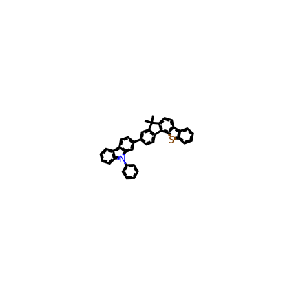 CC1(C)c2cc(-c3ccc4c5ccccc5n(-c5ccccc5)c4c3)ccc2-c2c1ccc1c2sc2ccccc21